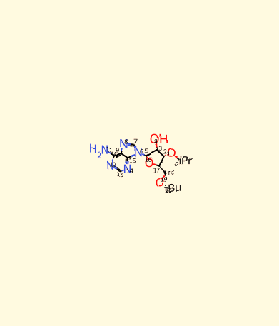 CC(C)O[C@H]1[C@H](O)[C@H](n2cnc3c(N)ncnc32)O[C@@H]1COC(C)(C)C